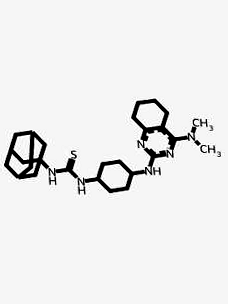 CN(C)c1nc(NC2CCC(NC(=S)NC34CC5CC(CC(C5)C3)C4)CC2)nc2c1CCCC2